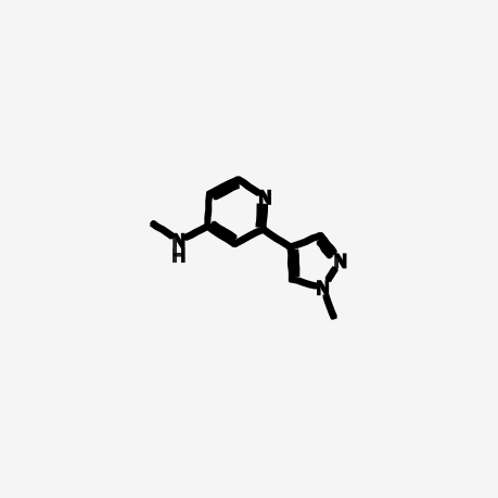 CNc1ccnc(-c2cnn(C)c2)c1